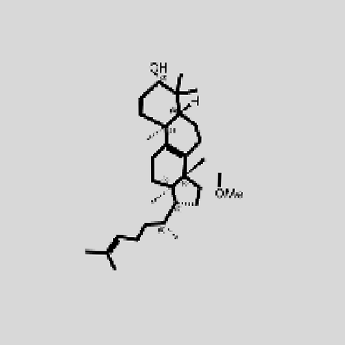 CC(C)=CCC[C@@H](C)[C@H]1CC[C@@]2(C)C3=C(CC[C@]12C)[C@@]1(C)CC[C@H](O)C(C)(C)[C@@H]1CC3.COC